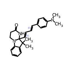 CN(C)c1ccc(/C=C/C=C/C23NC(=O)CCN2c2ccccc2C3(C)C)cc1